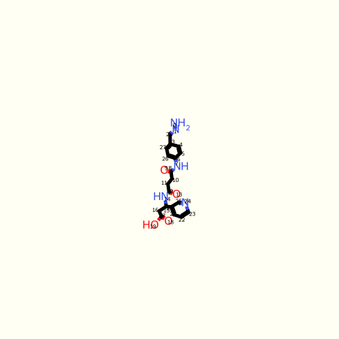 NN=Cc1ccc(NC(=O)CCC(=O)NC(CC(=O)O)c2cccnc2)cc1